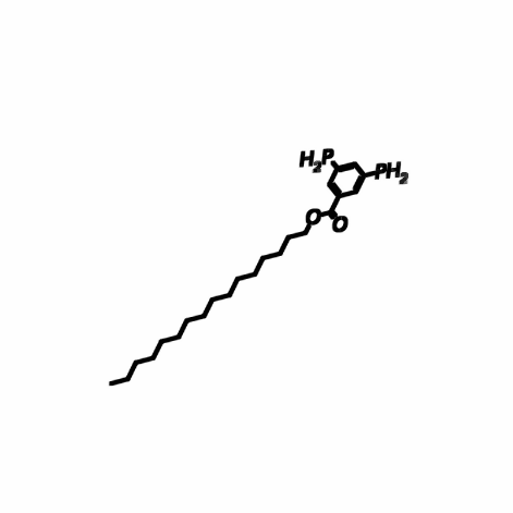 CCCCCCCCCCCCCCCCOC(=O)c1cc(P)cc(P)c1